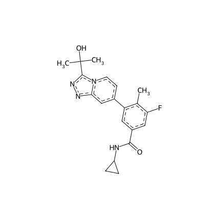 Cc1c(F)cc(C(=O)NC2CC2)cc1-c1ccn2c(C(C)(C)O)nnc2c1